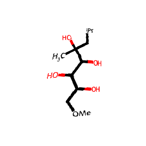 COCC(O)C(O)C(O)C(C)(O)CC(C)C